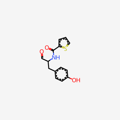 O=CC(Cc1ccc(O)cc1)NC(=O)c1cccs1